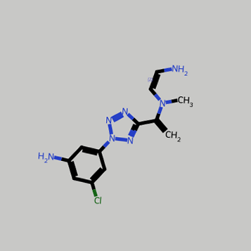 C=C(c1nnn(-c2cc(N)cc(Cl)c2)n1)N(C)/C=C\N